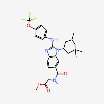 COC(=O)CN(C)C(=O)c1ccc2nc(Nc3ccc(OC(F)(F)F)cc3)n(C3CC(C)CC(C)(C)C3)c2c1